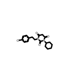 O=C1CC(=O)N(C2CCCCC2)C(=O)N1CCc1ccc(Cl)cc1